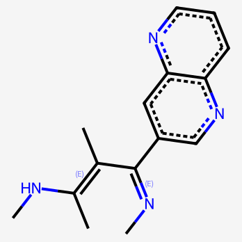 C/N=C(\C(C)=C(/C)NC)c1cnc2cccnc2c1